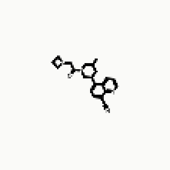 CC1CC(c2ccc(C#N)c3ncccc23)CN(C(=O)CN2CCC2)C1